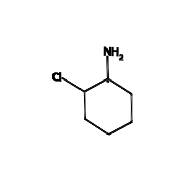 N[C]1CCCCC1Cl